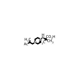 CC(=O)C(C)CN1CCN(NC(C)(C)C(=O)O)CC1